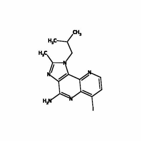 Cc1nc2c(N)nc3c(I)ccnc3c2n1CC(C)C